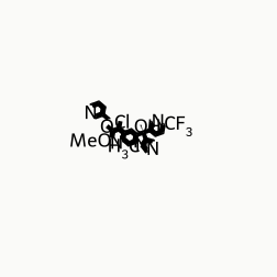 COc1nc2ccc([C@@](O)(c3ccc(C(F)(F)F)nc3)c3cncn3C)cc2c(Cl)c1OCc1cccnc1